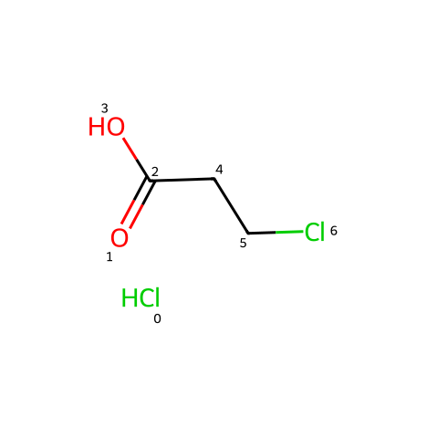 Cl.O=C(O)CCCl